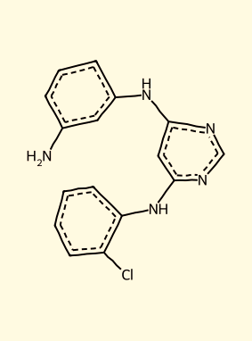 Nc1cccc(Nc2cc(Nc3ccccc3Cl)ncn2)c1